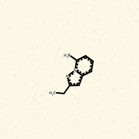 Bc1cccc2cc(CC)nn12